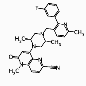 Cc1ccc(CN2C[C@H](C)N(c3cc(=O)n(C)c4ccc(C#N)nc34)C[C@H]2C)c(-c2cccc(F)c2)n1